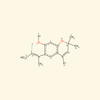 CCOc1cc2c(cc1C(C)=C(F)C(=O)O)C(CC)=CC(C)(C)O2